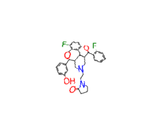 Cc1c(F)cccc1C1C(C(=O)c2cccc(O)c2)CN(CCN2CCCC2=O)CC1C(=O)c1ccccc1F